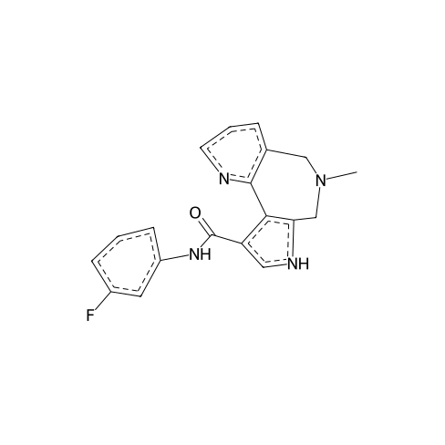 CN1Cc2cccnc2-c2c(C(=O)Nc3cccc(F)c3)c[nH]c2C1